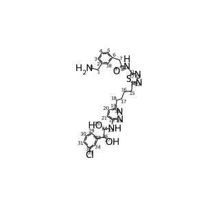 NCc1cccc(CC(=O)Nc2nnc(CCCCc3ccc(NC(O)C(O)c4cccc(Cl)c4)nn3)s2)c1